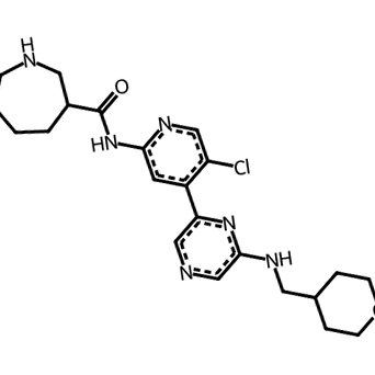 O=C(Nc1cc(-c2cncc(NCC3CCOCC3)n2)c(Cl)cn1)C1CCCCNC1